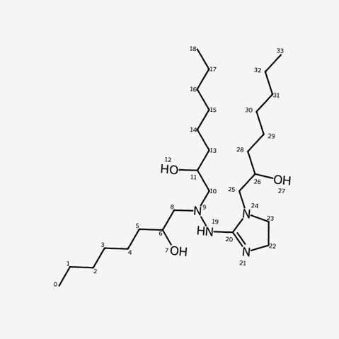 CCCCCCC(O)CN(CC(O)CCCCCC)NC1=NCCN1CC(O)CCCCCC